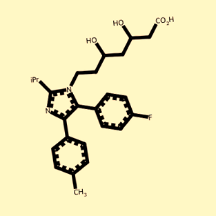 Cc1ccc(-c2nc(C(C)C)n(CCC(O)CC(O)CC(=O)O)c2-c2ccc(F)cc2)cc1